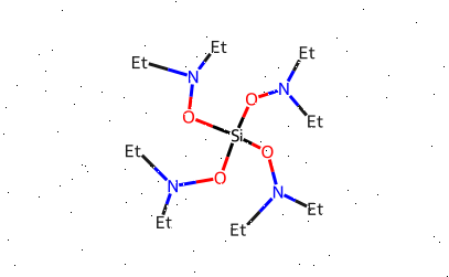 CCN(CC)O[Si](ON(CC)CC)(ON(CC)CC)ON(CC)CC